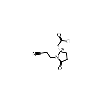 N#CCCN1C(=O)CC[C@H]1CC(=O)Cl